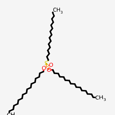 CCCCCCCCCCCCCCCCCOP(=O)(OCCCCCCCCCCCCCCCCC)SCCCCCCCCCCCCCCCCC